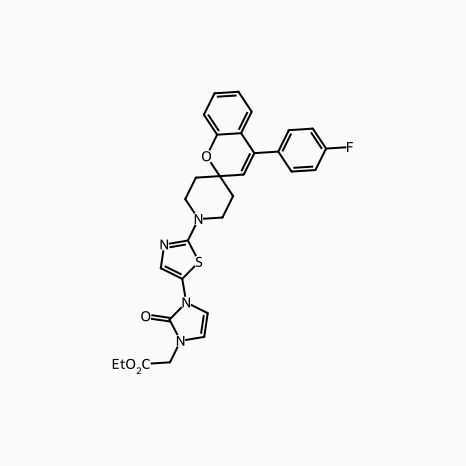 CCOC(=O)Cn1ccn(-c2cnc(N3CCC4(C=C(c5ccc(F)cc5)c5ccccc5O4)CC3)s2)c1=O